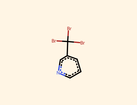 BrC(Br)(Br)c1cccnc1